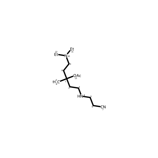 [CH2]C(CCNCCC#N)(CCN(CC)CC)OC(C)=O